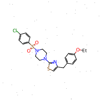 CCOc1ccc(Cc2csc(N3CCN(S(=O)(=O)c4ccc(Cl)cc4)CC3)n2)cc1